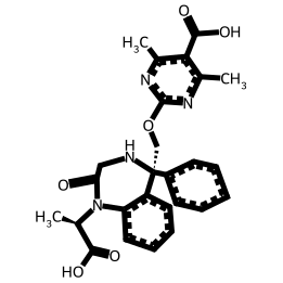 Cc1nc(OC[C@@]2(c3ccccc3)NCC(=O)N([C@H](C)C(=O)O)c3ccccc32)nc(C)c1C(=O)O